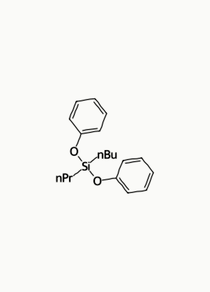 CCCC[Si](CCC)(Oc1ccccc1)Oc1ccccc1